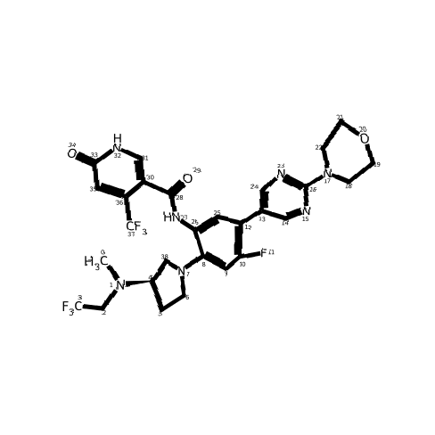 CN(CC(F)(F)F)[C@@H]1CCN(c2cc(F)c(-c3cnc(N4CCOCC4)nc3)cc2NC(=O)c2c[nH]c(=O)cc2C(F)(F)F)C1